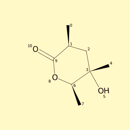 C[C@H]1C[C@](C)(O)[C@@H](C)OC1=O